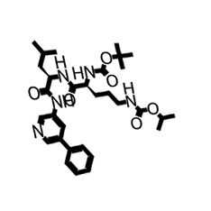 CC(C)C[C@@H](NC(=O)[C@H](CCCNC(=O)OC(C)C)NC(=O)OC(C)(C)C)C(=O)Nc1cncc(-c2ccccc2)c1